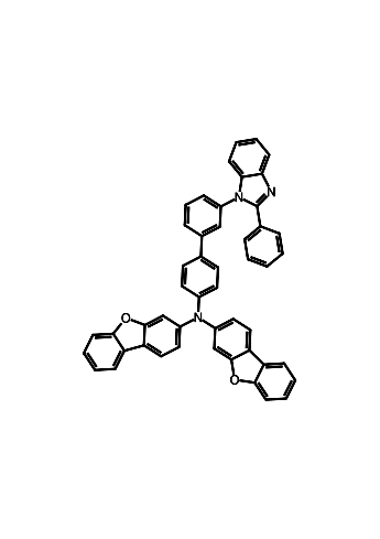 c1ccc(-c2nc3ccccc3n2-c2cccc(-c3ccc(N(c4ccc5c(c4)oc4ccccc45)c4ccc5c(c4)oc4ccccc45)cc3)c2)cc1